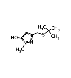 Cn1nc(CSC(C)(C)C)cc1O